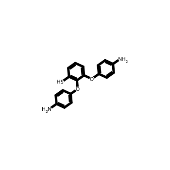 Nc1ccc(Oc2cccc(S)c2Oc2ccc(N)cc2)cc1